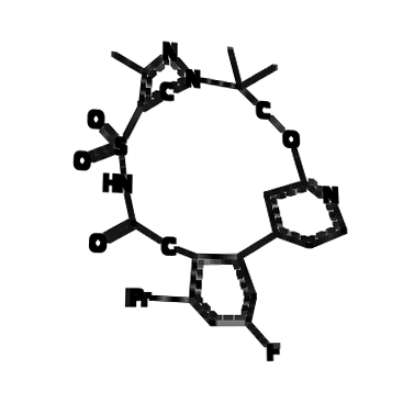 Cc1nn2cc1S(=O)(=O)NC(=O)Cc1c(cc(F)cc1C(C)C)-c1ccnc(c1)OCC2(C)C